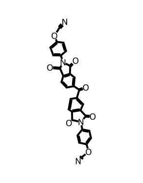 N#COc1ccc(N2C(=O)c3ccc(C(=O)c4ccc5c(c4)C(=O)N(c4ccc(OC#N)cc4)C5=O)cc3C2=O)cc1